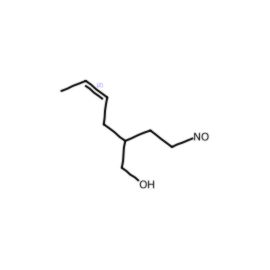 C/C=C\CC(CO)CCN=O